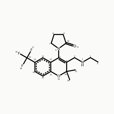 CCNCC1=C(N2CCCC2=O)c2cc(C(F)(F)F)ccc2OC1(C)C